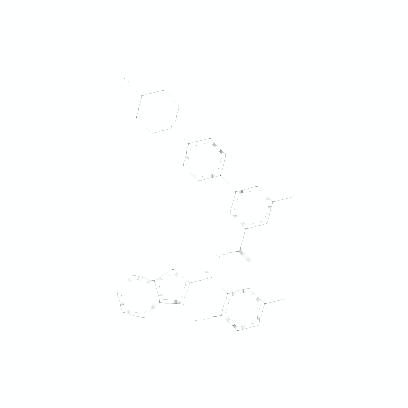 Cc1cc(C(=O)N[C@@H](c2cc3ccccc3[nH]2)c2cc(F)ccc2O)cc(-c2ccc(N3CCC(N)CC3)cc2)c1